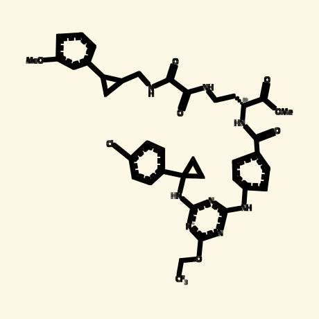 COC(=O)[C@@H](CCNC(=O)C(=O)NCC1CC1c1cccc(OC)c1)NC(=O)c1ccc(Nc2nc(NC3(c4ccc(Cl)cc4)CC3)nc(OCC(F)(F)F)n2)cc1